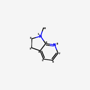 [CH2]N1CCc2cccnc21